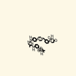 Cc1cnc(Nc2ccc(N3CCN(Cc4cccc(N5CCC(=O)NC5=O)c4)CC3)cc2)nc1Nc1cccc(S(=O)(=O)NC(C)(C)C)c1